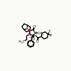 CCCN1C(=O)N(C)C(=O)C12CC1CCC(C2)N1CC[C@H](NC(=O)C1CCC(F)(F)CC1)c1ccccc1